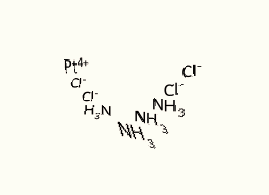 N.N.N.N.[Cl-].[Cl-].[Cl-].[Cl-].[Pt+4]